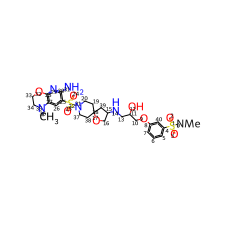 CNS(=O)(=O)c1cccc(OCC(O)CNC2COC3(CCN(S(=O)(=O)c4cc5c(nc4N)OCCN5C)CC3)C2)c1